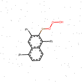 CC(C)c1cc2c(C(C)C)cccc2c(C(C)C)c1SOOO